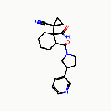 N#CC1(C2(C(N)=O)CCCCC2C(=O)N2CCC(c3cccnc3)C2)CC1